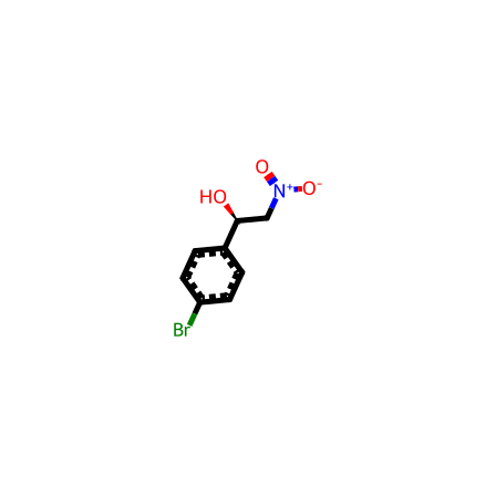 O=[N+]([O-])C[C@H](O)c1ccc(Br)cc1